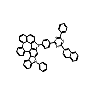 c1ccc(-c2nc(-c3ccc(-n4c5cc6c(c7c5c5c8c(cccc8ccc54)-c4ccccc4-7)c4ccccc4n6-c4ccccc4)cc3)nc(-c3ccc4ccccc4c3)n2)cc1